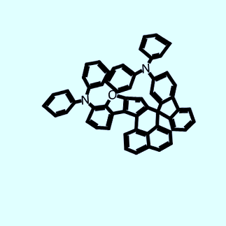 c1ccc(N(c2ccccc2)c2ccc3c(c2)C2(c4ccccc4-3)c3ccc4oc5c(N(c6ccccc6)c6ccccc6)cccc5c4c3-c3cccc4cccc2c34)cc1